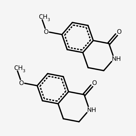 COc1ccc2c(c1)CCNC2=O.COc1ccc2c(c1)CCNC2=O